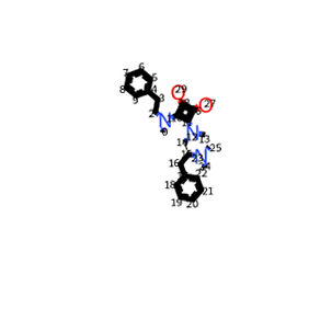 CN(CCc1ccccc1)c1c(N(C)C[C@@H](Cc2ccccc2)N(C)C)c(=O)c1=O